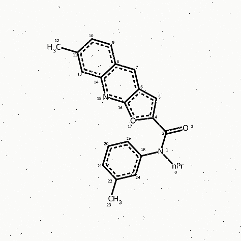 CCCN(C(=O)c1cc2cc3ccc(C)cc3nc2o1)c1cccc(C)c1